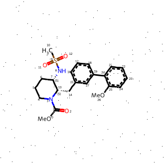 COC(=O)N1CCC[C@H](NS(C)(=O)=O)[C@@H]1Cc1cccc(-c2ccccc2OC)c1